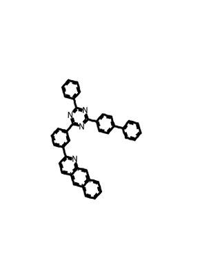 c1ccc(-c2ccc(-c3nc(-c4ccccc4)nc(-c4cccc(-c5ccc6cc7ccccc7cc6n5)c4)n3)cc2)cc1